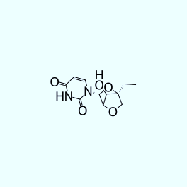 CC[C@]12COC(C1O)[C@H](n1ccc(=O)[nH]c1=O)O2